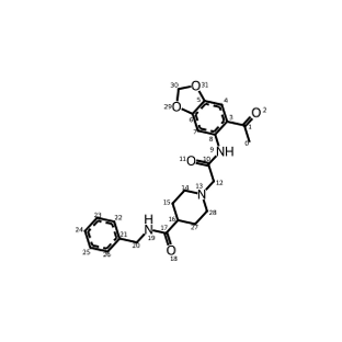 CC(=O)c1cc2c(cc1NC(=O)CN1CCC(C(=O)NCc3ccccc3)CC1)OCO2